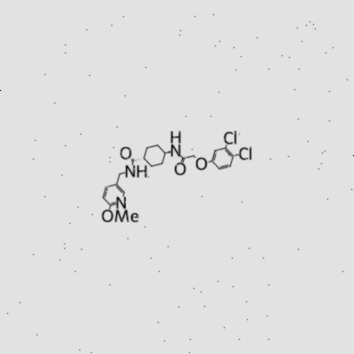 COc1ccc(CNC(=O)[C@H]2CC[C@H](NC(=O)COc3ccc(Cl)c(Cl)c3)CC2)cn1